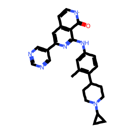 Cc1cc(Nc2nc(-c3cncnc3)cc3c2C(=O)[N]C=C3)ccc1C1CCN(C2CC2)CC1